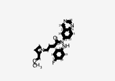 COCC1CCN1CC=CC(=O)N(Nc1ccc(F)cc1)c1ccc2ncncc2c1